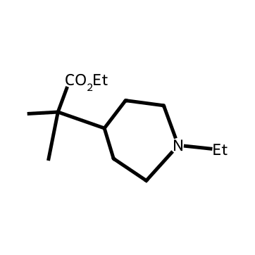 CCOC(=O)C(C)(C)C1CCN(CC)CC1